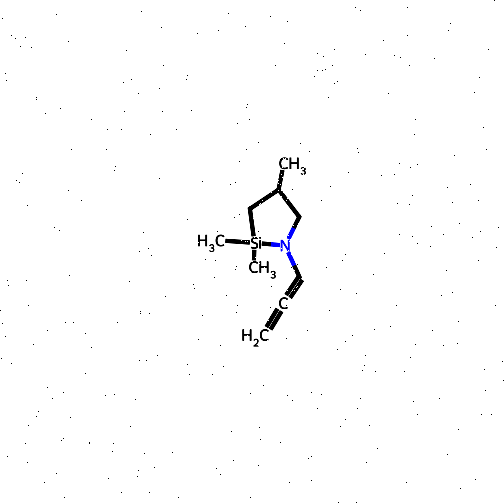 C=C=CN1CC(C)C[Si]1(C)C